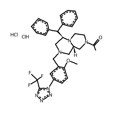 COc1ccc(-n2nnnc2C(F)(F)F)cc1CN1C[C@H]2CN(C(C)=O)CCN2[C@H](C(c2ccccc2)c2ccccc2)C1.Cl.Cl